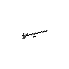 CCC.CCCCCCCCCCCCCCCCC(C)(O)S